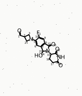 O=CC1CN(c2cc3c(cc2F)C(=O)N(C2CCC(=O)NC2=O)C3O)C1